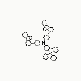 c1ccc(C2(c3ccccc3)c3ccccc3-c3cc(N(c4ccc(-c5cccc6c5oc5ccccc56)cc4)c4ccc(-c5cccc6c5oc5ccccc56)cc4)ccc32)cc1